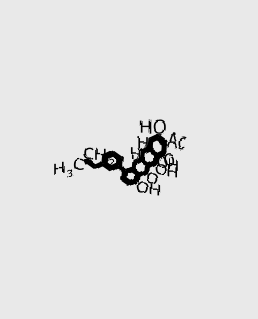 C=C(C)Cc1cccc(-c2ccc(O)c3c2C[C@H]2C[C@H]4CC(O)=C(C(C)=O)C(=O)[C@@]4(O)C(O)=C2C3=O)c1